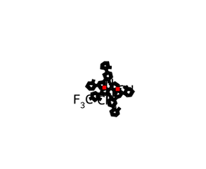 Cc1ccccc1-c1ccc2c(c1)c1cc(-c3ccccc3C)ccc1n2-c1ccc(C#N)cc1-c1ccc(-c2ccc(C(F)(F)F)cc2C(F)(F)F)cc1-n1c2ccc(-c3ccccc3C)cc2c2cc(-c3ccccc3C)ccc21